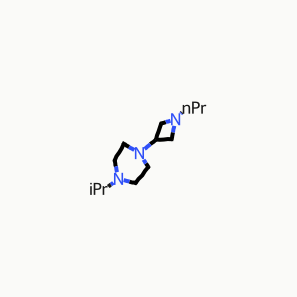 CCCN1CC(N2CCN(C(C)C)CC2)C1